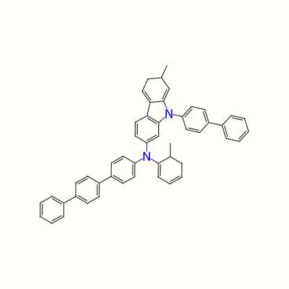 CC1C=c2c(c3ccc(N(C4=CC=CCC4C)c4ccc(-c5ccc(-c6ccccc6)cc5)cc4)cc3n2-c2ccc(-c3ccccc3)cc2)=CC1